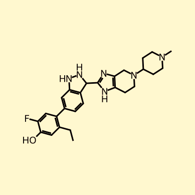 CCc1cc(O)c(F)cc1-c1ccc2c(c1)NNC2c1nc2c([nH]1)CCN(C1CCN(C)CC1)C2